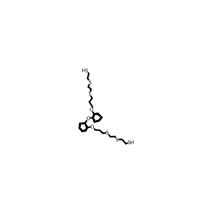 SCCSCCSCCCOc1ccccc1Oc1ccccc1OCCCSCCSCCS